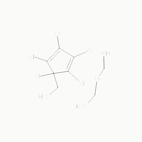 CCC1(Cl)C(Cl)=C(Cl)C(Cl)=C1Cl.CCOCC